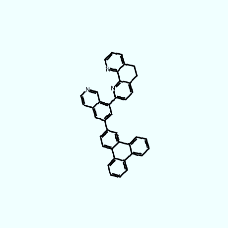 c1cnc2c(c1)CCc1ccc(-c3cc(-c4ccc5c6ccccc6c6ccccc6c5c4)cc4ccncc34)nc1-2